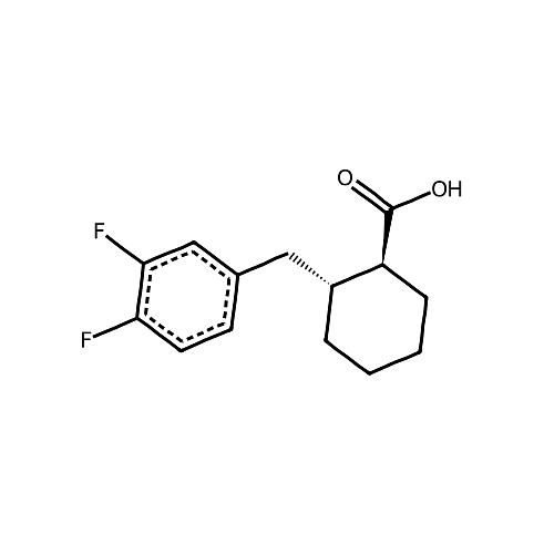 O=C(O)[C@H]1CCCC[C@@H]1Cc1ccc(F)c(F)c1